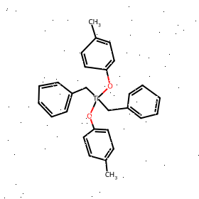 Cc1ccc([O][Ti]([CH2]c2ccccc2)([CH2]c2ccccc2)[O]c2ccc(C)cc2)cc1